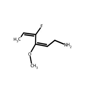 C/C=C(F)\C(=C/CN)OC